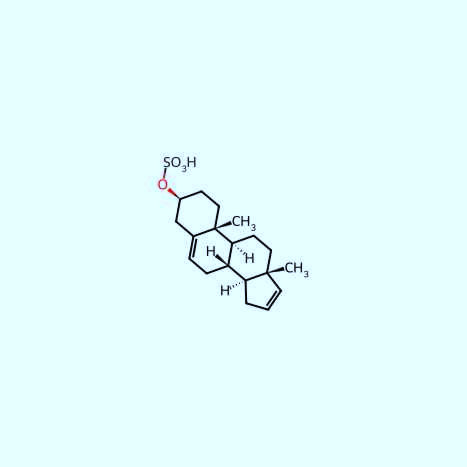 C[C@@]12C=CC[C@H]1[C@@H]1CC=C3C[C@@H](OS(=O)(=O)O)CC[C@]3(C)[C@H]1CC2